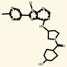 CCn1c(-c2cnc(C)nc2)nc2c(NC3CCN(C(=O)C4CCC(O)CC4)C3)ncnc21